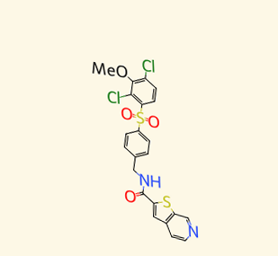 COc1c(Cl)ccc(S(=O)(=O)c2ccc(CNC(=O)c3cc4ccncc4s3)cc2)c1Cl